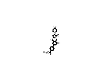 COC(=O)c1ccc(-c2cc(Cl)c(CN3CCC(N4CCC(F)(F)CC4)C3=O)c(Cl)c2)cc1